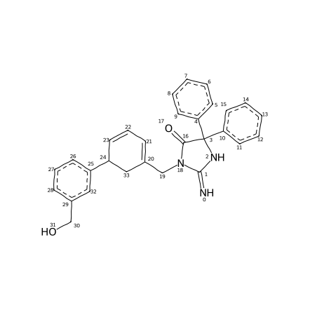 N=C1NC(c2ccccc2)(c2ccccc2)C(=O)N1CC1=CC=CC(c2cccc(CO)c2)C1